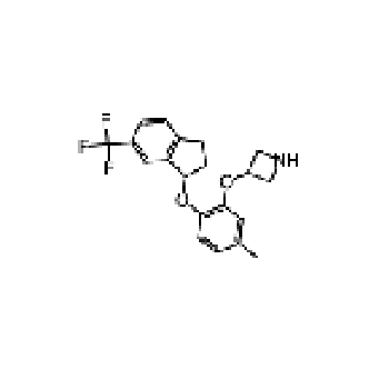 FC(F)(F)c1ccc2c(c1)C(Oc1ccc(I)cc1OC1CNC1)CC2